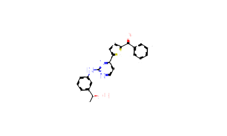 CC(O)c1cccc(Nc2nccc(-c3ccc(C(=O)c4ccccc4)s3)n2)c1